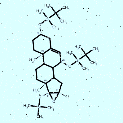 CC(C)(C)[Si](C)(C)O[C@H]1CC[C@@]2(C)C(=C[C@H](O[Si](C)(C)C(C)(C)C)C3C2CC[C@@]2(C)C3C[C@H]3O[C@]32O[Si](C)(C)C)C1